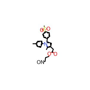 Cc1ccc(-n2c(-c3ccc(S(C)(=O)=O)cc3)cc(CC(=O)OCCCN=O)c2C)cc1